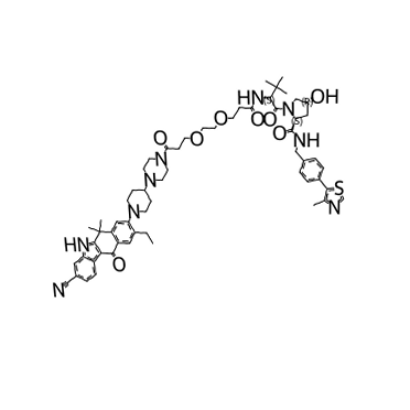 CCc1cc2c(cc1N1CCC(N3CCN(C(=O)CCOCCOCCC(=O)N[C@H](C(=O)N4C[C@H](O)C[C@H]4C(=O)NCc4ccc(-c5scnc5C)cc4)C(C)(C)C)CC3)CC1)C(C)(C)c1[nH]c3cc(C#N)ccc3c1C2=O